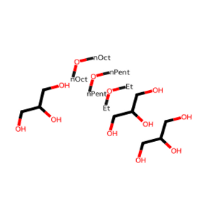 CCCCCCCCOCCCCCCCC.CCCCCOCCCCC.CCOCC.OCC(O)CO.OCC(O)CO.OCC(O)CO